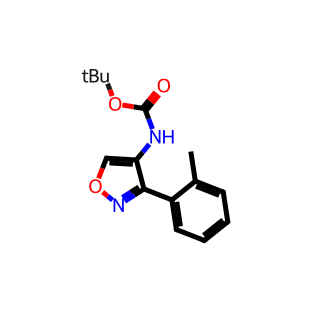 Cc1ccccc1-c1nocc1NC(=O)OC(C)(C)C